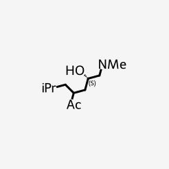 CNC[C@@H](O)CC(CC(C)C)C(C)=O